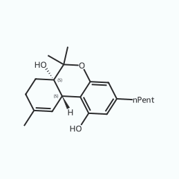 CCCCCc1cc(O)c2c(c1)OC(C)(C)[C@]1(O)CCC(C)=C[C@@H]21